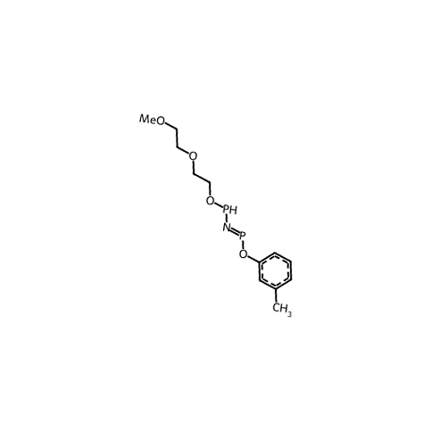 COCCOCCOPN=POc1cccc(C)c1